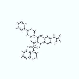 CN(C(Cc1ccc(NS(C)(=O)=O)cc1)C(=O)N1CCN(c2ccccc2)CC1)S(=O)(=O)c1cccc2cnccc12